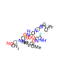 CO[C@@H](C)COc1nc2[nH]cc(F)c2cc1Oc1cc(N2CCC3(CC2)CN([C@H]2CCC[C@H]2c2ccccc2C(C)C)C3)ccc1C(=O)NS(=O)(=O)c1ccc(NC[C@H]2CC[C@](C)(O)CC2)c([N+](=O)[O-])c1